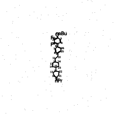 CCCCOc1ccc(-c2ccc(CCC3CCC(C4CCC(CCC)CC4)CC3)cc2)c(F)c1F